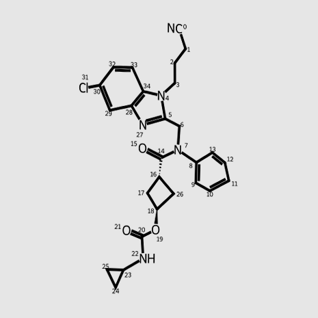 N#CCCCn1c(CN(c2ccccc2)C(=O)[C@H]2C[C@H](OC(=O)NC3CC3)C2)nc2cc(Cl)ccc21